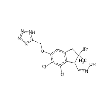 CC(C)C1(C)Cc2cc(OCc3nnn[nH]3)c(Cl)c(Cl)c2C1/C=N\O